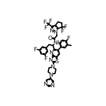 Cc1cc(-c2cc3sc(N4CCN(c5cncnc5)CC4)nc3nc2C(Cc2cc(F)cc(F)c2)NC(=O)Cn2nc(C(F)(F)F)c3c2C(F)(F)CC3)ccc1F